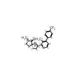 Cc1c(-c2ccc(C(F)(F)F)cc2)ccnc1[C@H]1CC[C@@]2(CCN(C)C2=O)N1